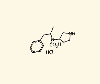 CC(Cc1ccccc1)N(C(=O)O)C1CCNC1.Cl